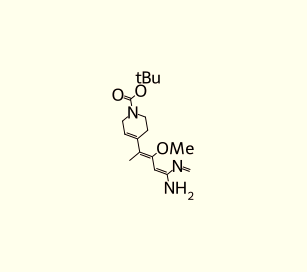 C=N/C(N)=C\C(OC)=C(/C)C1=CCN(C(=O)OC(C)(C)C)CC1